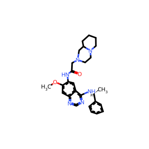 COc1cc2ncnc(N[C@H](C)c3ccccc3)c2cc1NC(=O)CN1CCN2CCCCC2C1